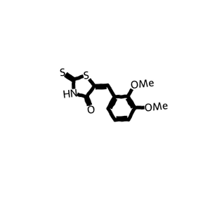 COc1cccc(C=C2SC(=S)NC2=O)c1OC